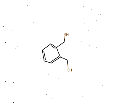 SCc1ccccc1CS